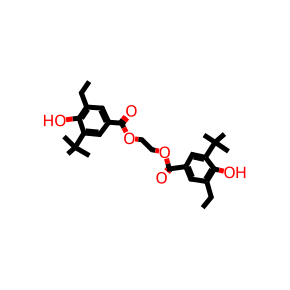 CCc1cc(C(=O)OCCOC(=O)c2cc(CC)c(O)c(C(C)(C)C)c2)cc(C(C)(C)C)c1O